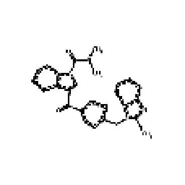 Cc1nc2ncccc2n1Cc1ccc(C(=O)c2cn(C(=O)N(C)C)c3ccccc23)cc1